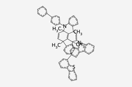 CC1(c2ccccc2)C=CC2(C)C3=C1C1(C)C(=CC3(C)c3ccccc3N2c2ccc(-c3ccccc3)cc2)n2c3ccccc3c3cc(-c4cccc5c4sc4ccccc45)cc1c32